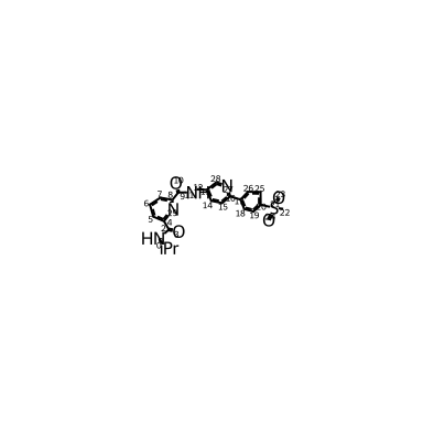 CC(C)NC(=O)c1cccc(C(=O)NCc2ccc(-c3ccc(S(C)(=O)=O)cc3)nc2)n1